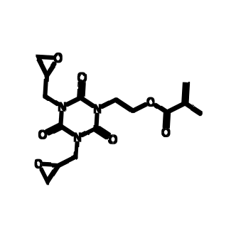 C=C(C)C(=O)OCCn1c(=O)n(CC2CO2)c(=O)n(CC2CO2)c1=O